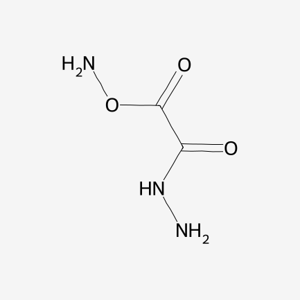 NNC(=O)C(=O)ON